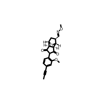 CC#Cc1ccc(C2C(=O)[C@@H]3[C@@H]4O[C@@H](C[C@H]4/C=N/OC)[C@@H]3C2=O)c(OC)c1